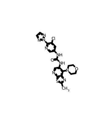 Cc1nc2c(N3CCOCC3)c(NC(=O)Nc3cnc(-n4nccn4)c(Cl)c3)cnc2s1